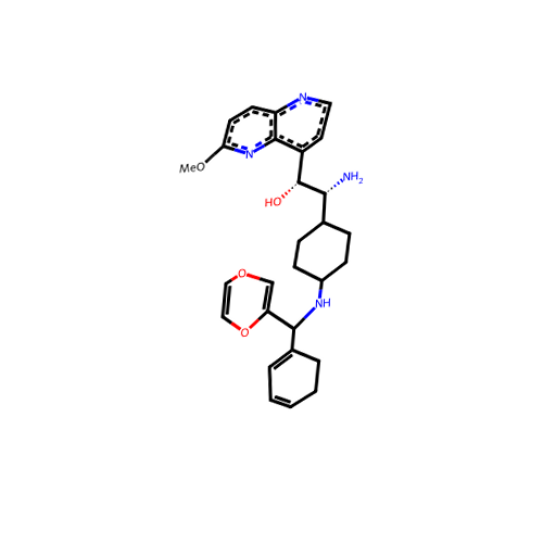 COc1ccc2nccc([C@@H](O)[C@H](N)C3CCC(NC(C4=CC=CCC4)C4=COC=CO4)CC3)c2n1